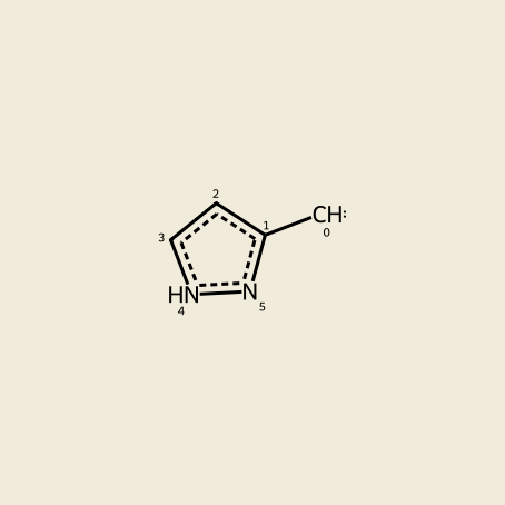 [CH]c1cc[nH]n1